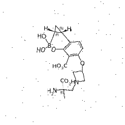 C[C@@](N)(CN1CC(Oc2ccc3c(c2C(=O)O)O[B-](O)(O)[C@@H]2C[C@H]32)C1)C(=O)O